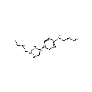 CCCCNC1=NCN([C@H]2CS[C@@H](COCC)O2)C=C1